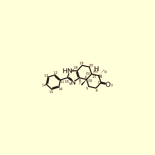 C[C@@H]1C(=O)CC[C@]2(C)c3nc(-c4ccccc4)[nH]c3CC[C@@H]12